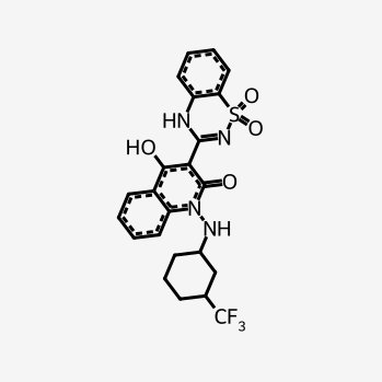 O=c1c(C2=NS(=O)(=O)c3ccccc3N2)c(O)c2ccccc2n1NC1CCCC(C(F)(F)F)C1